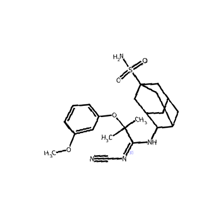 COc1cccc(OC(C)(C)/C(=N\C#N)NC2C3CC4CC2CC(S(N)(=O)=O)(C4)C3)c1